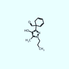 CCCn1nc(C2(C=O)C=CC=CC2)c(O)c1C